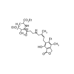 CCOC(=O)C(C)NN(C(C)C(=O)OCC)[PH](=O)CCNCC(C)=CCc1c(O)c2c(c(C)c1CC)COC2=O